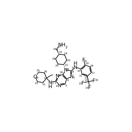 CC1(Nc2ncc3nc(Nc4cc(C(F)(F)F)ccc4F)n([C@H]4CC[C@H](CN)CC4)c3n2)CCOCC1